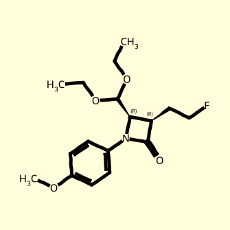 CCOC(OCC)[C@H]1[C@@H](CCF)C(=O)N1c1ccc(OC)cc1